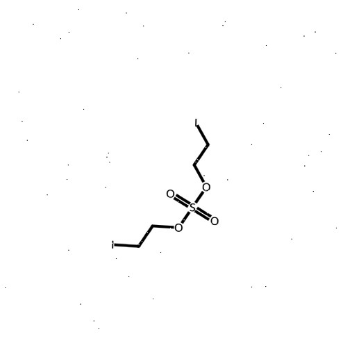 O=S(=O)(OCCI)OCCI